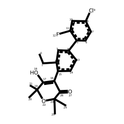 CCc1cc(-c2ccc(Cl)cc2F)ccc1C1=C(O)C(C)(C)OC(C)(C)C1=O